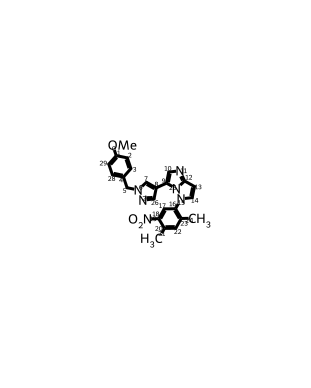 COc1ccc(Cn2cc(-c3cnc4ccn(-c5cc([N+](=O)[O-])c(C)cc5C)n34)cn2)cc1